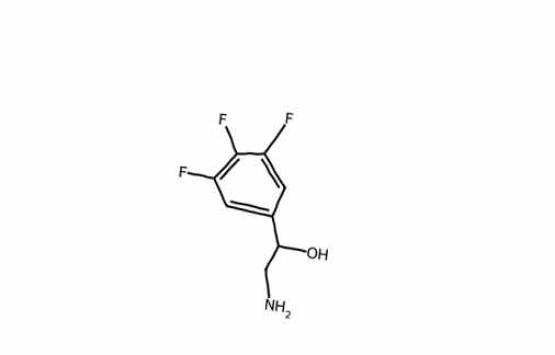 NCC(O)c1cc(F)c(F)c(F)c1